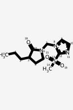 CCCC1CCN(Cn2ccnc2S(C)(=O)=O)C1=O